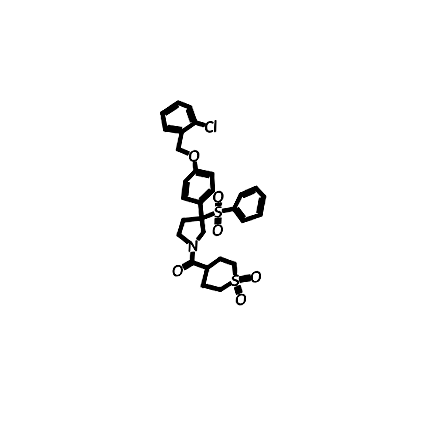 O=C(C1CCS(=O)(=O)CC1)N1CCC(c2ccc(OCc3ccccc3Cl)cc2)(S(=O)(=O)c2ccccc2)C1